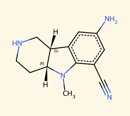 CN1c2c(C#N)cc(N)cc2[C@H]2CNCC[C@H]21